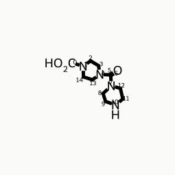 O=C(O)N1CCN(C(=O)N2CCNCC2)CC1